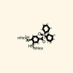 CCCCCCNc1ccc(C(=O)P(=O)(c2ccccc2)c2ccccc2)cc1NCCCCCC